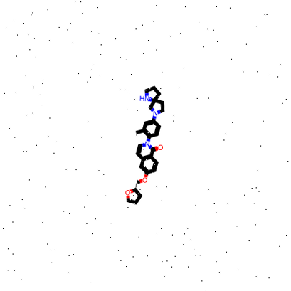 Cc1cc(N2CCC3(CCCN3)C2)ccc1-n1ccc2cc(OC[C@@H]3CCCO3)ccc2c1=O